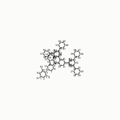 Cc1cc(C)c(-c2ccc3c(c2)c2ccccc2n3-c2ccc(-c3nc(-c4ccccc4)cc(-c4ccccc4)n3)cc2-c2nc(-c3ccccc3)nc(-c3ccccc3)n2)c(C)c1